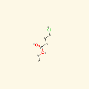 C[CH]OC(=O)CCCCl